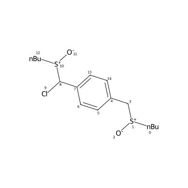 CCCC[S+]([O-])Cc1ccc(C(Cl)[S+]([O-])CCCC)cc1